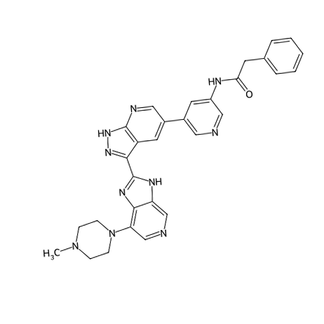 CN1CCN(c2cncc3[nH]c(-c4n[nH]c5ncc(-c6cncc(NC(=O)Cc7ccccc7)c6)cc45)nc23)CC1